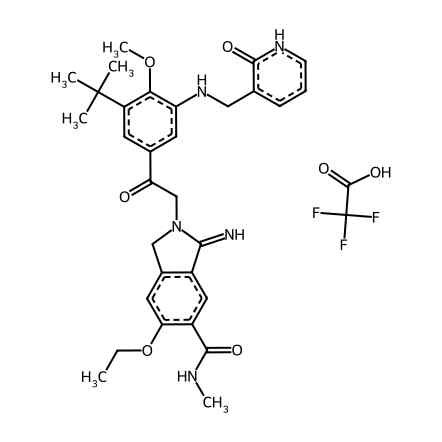 CCOc1cc2c(cc1C(=O)NC)C(=N)N(CC(=O)c1cc(NCc3ccc[nH]c3=O)c(OC)c(C(C)(C)C)c1)C2.O=C(O)C(F)(F)F